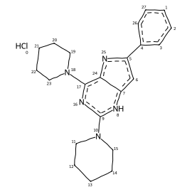 Cl.c1ccc(-c2cc3[nH]c(N4CCCCC4)nc(N4CCCCC4)c-3n2)cc1